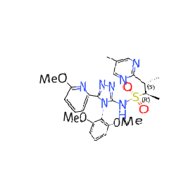 COc1cccc(-c2nnc(NS(=O)(=O)[C@H](C)[C@@H](C)c3ncc(C)cn3)n2-c2c(OC)cccc2OC)n1